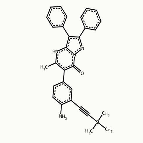 Cc1[nH]c2c(-c3ccccc3)c(-c3ccccc3)nn2c(=O)c1-c1ccc(N)c(C#C[Si](C)(C)C)c1